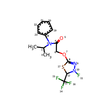 CC(C)N(C(=O)COC1=NN(F)C(C(F)(F)F)S1)c1ccccc1